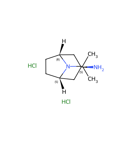 CC(C)N1[C@@H]2CC[C@H]1C[C@H](N)C2.Cl.Cl